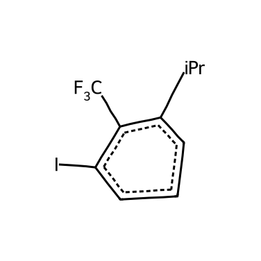 [CH2]C(C)c1cccc(I)c1C(F)(F)F